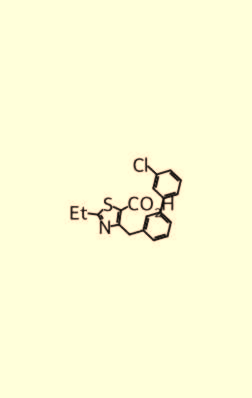 CCc1nc(Cc2cccc(-c3cccc(Cl)c3)c2)c(C(=O)O)s1